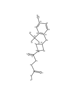 CCC(=O)CCC(=O)N1CC(Cc2ccc(Cl)cc2C(C)(C)C)C1